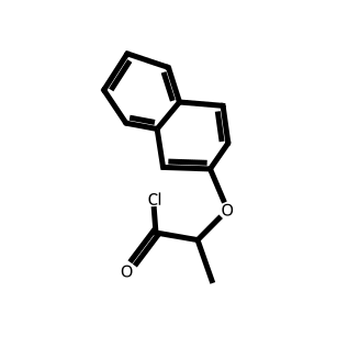 CC(Oc1ccc2ccccc2c1)C(=O)Cl